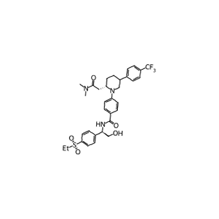 CCS(=O)(=O)c1ccc([C@H](CO)NC(=O)c2ccc(N3CC(c4ccc(C(F)(F)F)cc4)CC[C@H]3CC(=O)N(C)C)cc2)cc1